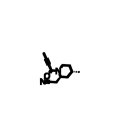 CC#CC(=O)N1CC[C@H](C)C[C@H]1CC#N